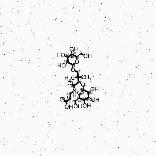 CC(C)(CO[C@@H]1O[C@H](CO)[C@H](O)[C@H](O)[C@H]1O)[C@@H](O[C@@H]1O[C@H](CO)[C@H](O)[C@H](O)[C@H]1O)C(=O)NCCC(=O)O